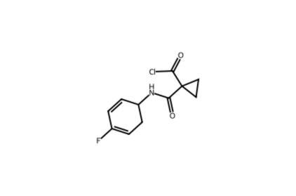 O=C(Cl)C1(C(=O)NC2C=CC(F)=CC2)CC1